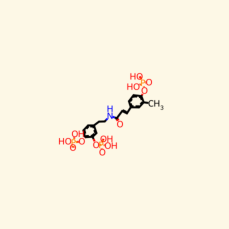 Cc1cc(/C=C/C(=O)NCCc2ccc(OP(=O)(O)O)c(OP(=O)(O)O)c2)ccc1OP(=O)(O)O